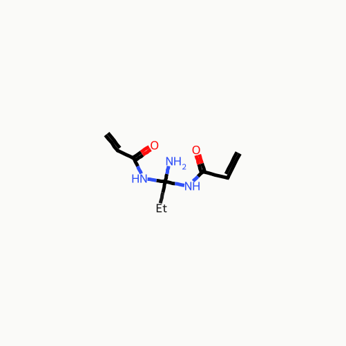 C=CC(=O)NC(N)(CC)NC(=O)C=C